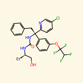 CC[C@H](CO)NC(=O)N[C@@](Cc1ccccc1)(c1cccc(OC(F)(F)C(F)F)c1)c1ccc(Cl)cn1